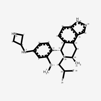 COc1cc(NC2CNC2)ccc1[C@@H]1c2ccc3[nH]ncc3c2C[C@@H](C)N1CC(F)F